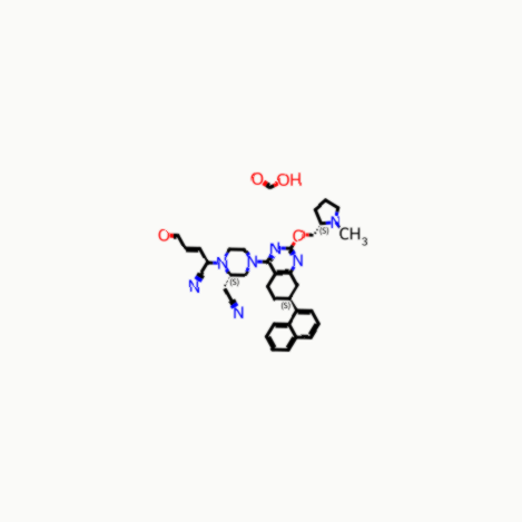 CN1CCC[C@H]1COc1nc2c(c(N3CCN(C(C#N)C=CC=O)[C@@H](CC#N)C3)n1)CC[C@H](c1cccc3ccccc13)C2.O=CO